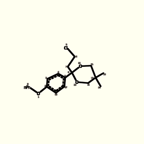 CCCOc1ccc(C2(CCCl)OCC(C)(C)CO2)cc1